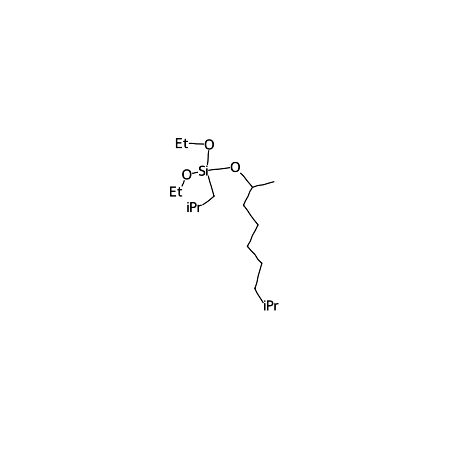 CCO[Si](CC(C)C)(OCC)OC(C)CCCCCC(C)C